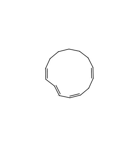 [C]1=C/C=C\CCCCC/C=C\C\C=C/1